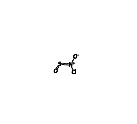 O=S=[N+]([O-])Cl